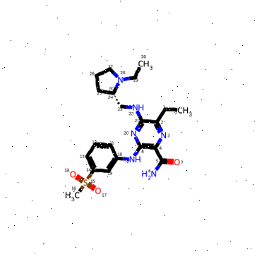 CCc1nc(C(N)=O)c(Nc2cccc(S(C)(=O)=O)c2)nc1NC[C@@H]1CCCN1CC